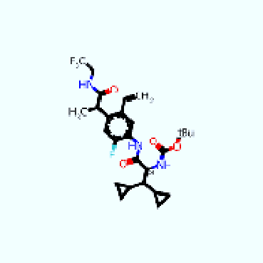 C=Cc1cc(NC(=O)[C@@H](NC(=O)OC(C)(C)C)C(C2CC2)C2CC2)c(F)cc1C(C)C(=O)NCC(F)(F)F